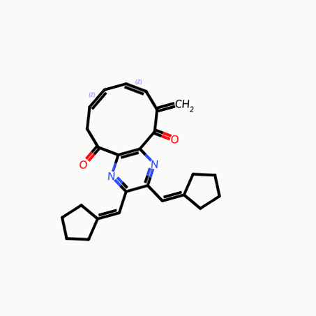 C=C1/C=C\C=C/CC(=O)c2nc(C=C3CCCC3)c(C=C3CCCC3)nc2C1=O